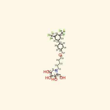 OC[C@H]1[C@@H](O)[C@H](O)[C@@H](O)CN1CCCCCOCc1ccc(-c2cc(C(F)(F)F)cc(C(F)(F)F)c2)cc1